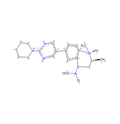 CCN(C(=O)[O-])C1C[C@H](C)[N@+](C)(C(C)=O)c2ccc(-c3cnc(N4CCCCC4)nc3)cc21